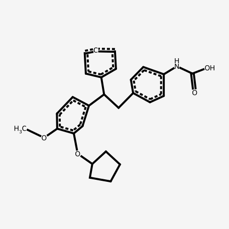 COc1ccc(C(Cc2ccc(NC(=O)O)cc2)c2ccccc2)cc1OC1CCCC1